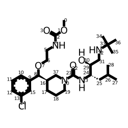 COC(=O)NCCOC(c1cccc(Cl)c1)[C@@H]1CCCN(C(=O)N[C@@H](CC(C)C)[C@@H](O)CNC(C)(C)C)C1